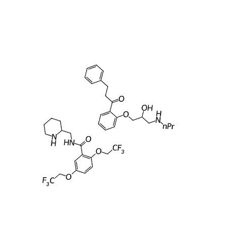 CCCNCC(O)COc1ccccc1C(=O)CCc1ccccc1.O=C(NCC1CCCCN1)c1cc(OCC(F)(F)F)ccc1OCC(F)(F)F